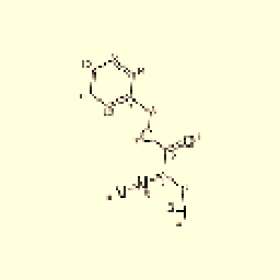 [2H]CC(=[N+]=[N-])C(=O)OCc1ccccc1